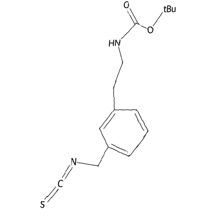 CC(C)(C)OC(=O)NCCc1cccc(CN=C=S)c1